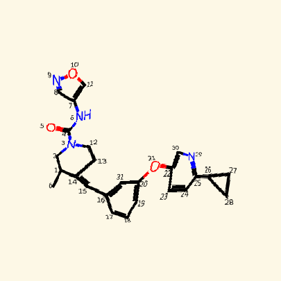 CC1CN(C(=O)Nc2cnoc2)CCC1=Cc1cccc(Oc2ccc(C3CC3)nc2)c1